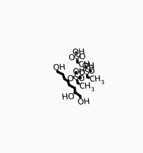 CCS(=O)(=O)O.CCS(=O)(=O)O.CCS(=O)(=O)O.OCCCCCCC(O)CO